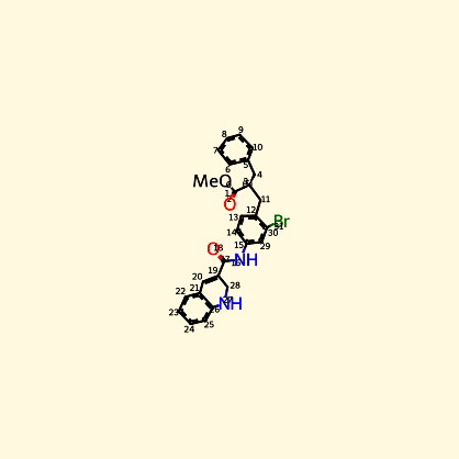 COC(=O)[C@@H](Cc1ccccc1)Cc1ccc(NC(=O)C2=Cc3ccccc3NC2)cc1Br